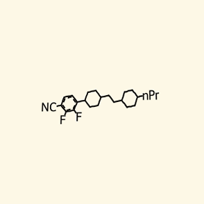 CCCC1CCC(CCC2CCC(c3ccc(C#N)c(F)c3F)CC2)CC1